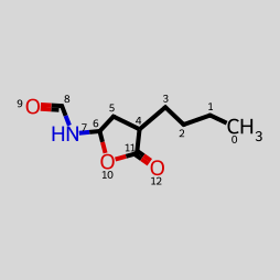 CCCCC1CC(NC=O)OC1=O